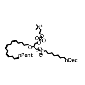 CCCCC/C=C\C/C=C\C/C=C\C/C=C\CCCCO[C@H](CO[14C](=O)CCCCCCCCCCCCCCCCC)COP(=O)([O-])OCC[N+](C)(C)C